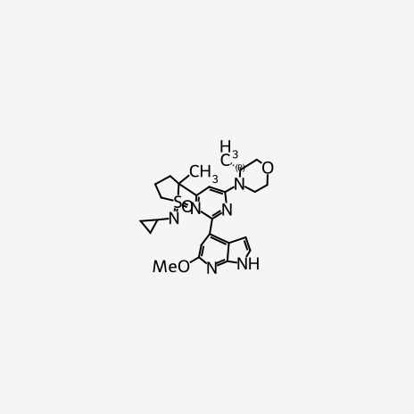 COc1cc(-c2nc(N3CCOC[C@H]3C)cc(C3(C)CCCS3(=O)=NC3CC3)n2)c2cc[nH]c2n1